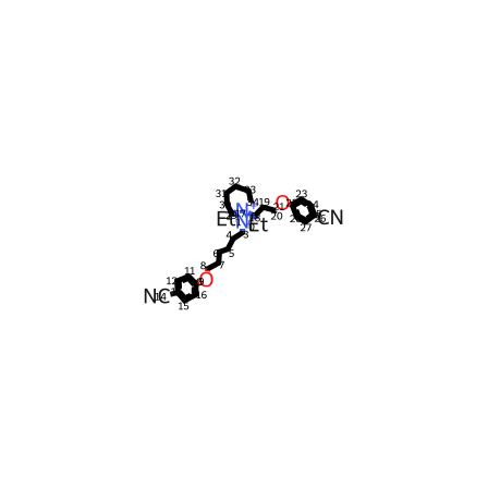 CC[N+](CC)(CCCCCCOc1ccc(C#N)cc1)[N+]1(CCCOc2ccc(C#N)cc2)CCCCCC1